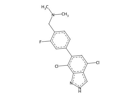 CN(C)Cc1ccc(-c2cc(Cl)c3c[nH]nc3c2Cl)cc1F